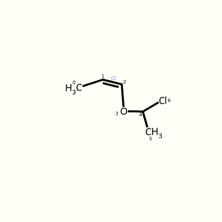 C/C=C\OC(C)Cl